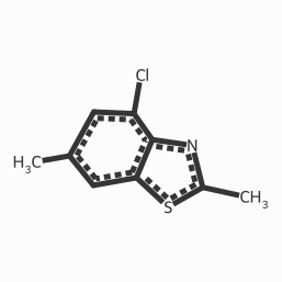 Cc1cc(Cl)c2nc(C)sc2c1